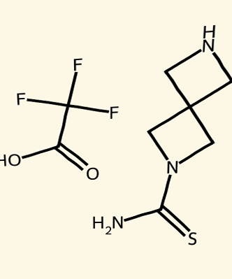 NC(=S)N1CC2(CNC2)C1.O=C(O)C(F)(F)F